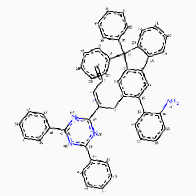 C=C/C=C(\Cc1cc2c(cc1-c1ccccc1N)-c1ccccc1C2(c1ccccc1)c1ccccc1)c1nc(-c2ccccc2)nc(-c2ccccc2)n1